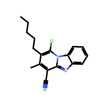 CCCCCc1c(C)c(C#N)c2nc3ccccc3n2c1Cl